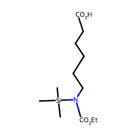 CCOC(=O)N(CCCCCC(=O)O)[Si](C)(C)C